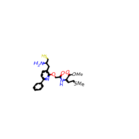 COC(=O)C(CCSC)NC(=O)COc1nc(-c2ccccc2)ccc1CC(N)CS